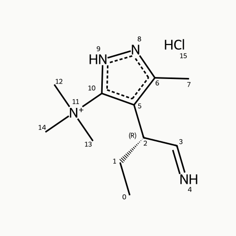 CC[C@@H](C=N)c1c(C)n[nH]c1[N+](C)(C)C.Cl